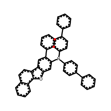 c1ccc(-c2ccc(N(c3ccc(-c4ccccc4)cc3)c3cc4oc5c6ccccc6ccc5c4cc3-c3ccccc3)cc2)cc1